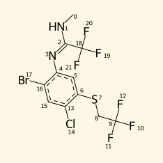 CN/C(=N/c1cc(SCC(F)(F)F)c(Cl)cc1Br)C(F)(F)F